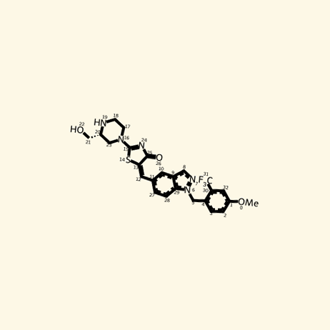 COc1ccc(Cn2ncc3cc(C=C4SC(N5CCN[C@@H](CO)C5)=NC4=O)ccc32)c(C(F)(F)F)c1